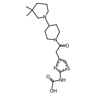 CC1(C)CCCN(C2CCN(C(=O)Cc3csc(NC(=O)O)n3)CC2)C1